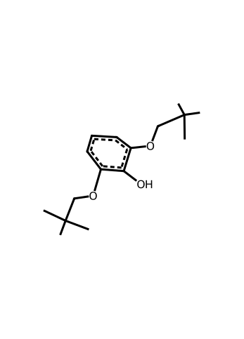 CC(C)(C)COc1cccc(OCC(C)(C)C)c1O